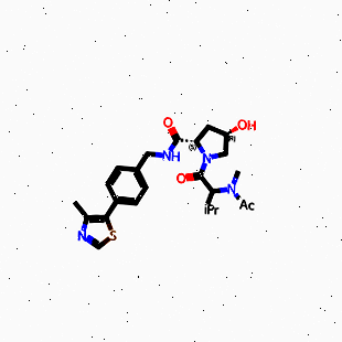 CC(=O)N(C)C(C(=O)N1C[C@H](O)C[C@H]1C(=O)NCc1ccc(-c2scnc2C)cc1)C(C)C